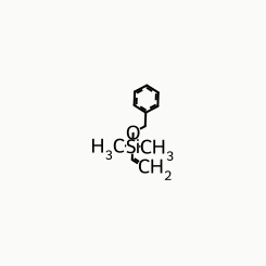 C=C[Si](C)(C)OCc1ccccc1